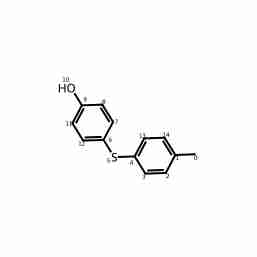 Cc1ccc(Sc2ccc(O)cc2)cc1